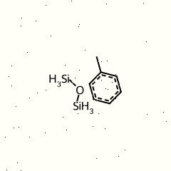 Cc1ccccc1.[SiH3]O[SiH3]